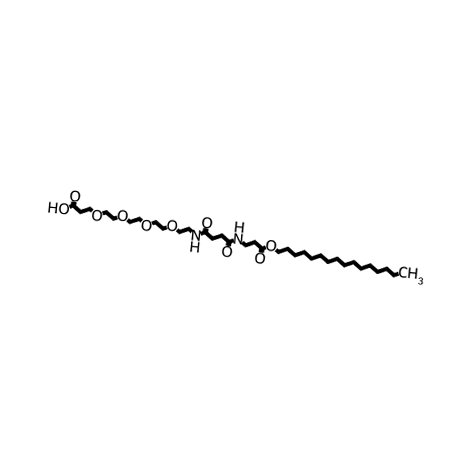 CCCCCCCCCCCCCCCCOC(=O)CCNC(=O)CCC(=O)NCCOCCOCCOCCOCCC(=O)O